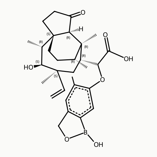 C=C[C@]1(C)C[C@@H](C(Oc2cc3c(cc2C)COB3O)C(=O)O)[C@@]2(C)[C@H](C)CC[C@]3(CCC(=O)[C@H]32)[C@@H](C)[C@@H]1O